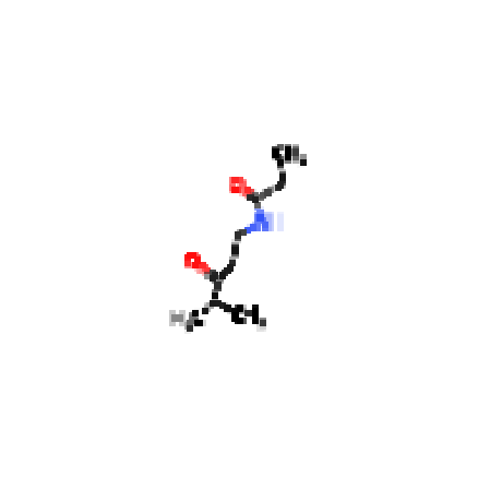 CCC(=O)NCCC(=O)C(C)C